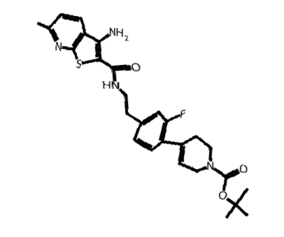 Cc1ccc2c(N)c(C(=O)NCCc3ccc(C4=CCN(C(=O)OC(C)(C)C)CC4)c(F)c3)sc2n1